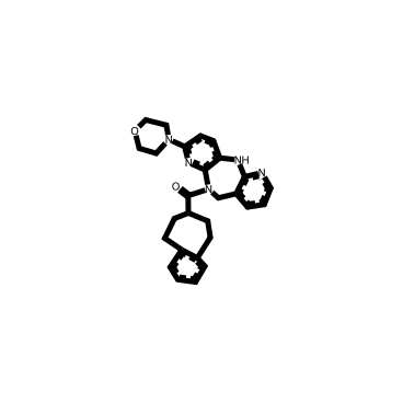 O=C(C1CCc2ccccc2CC1)N1Cc2cccnc2Nc2ccc(N3CCOCC3)nc21